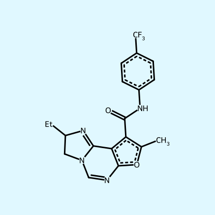 CCC1CN2C=Nc3oc(C)c(C(=O)Nc4ccc(C(F)(F)F)cc4)c3C2=N1